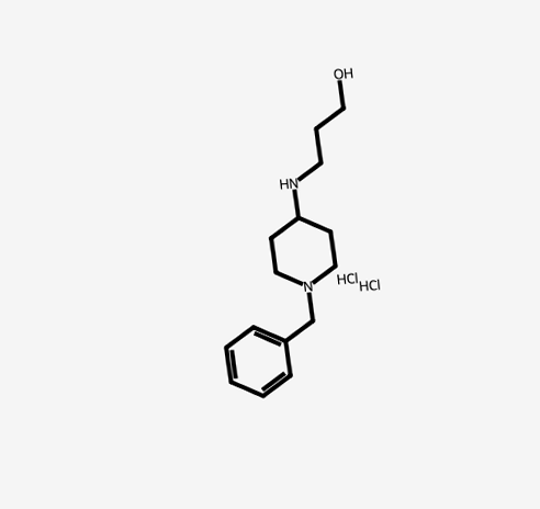 Cl.Cl.OCCCNC1CCN(Cc2ccccc2)CC1